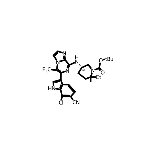 CCC1(C)CC[C@H](Nc2nc(-c3c[nH]c4c(Cl)c(C#N)ccc34)c(C(F)(F)F)n3ccnc23)CN1C(=O)OC(C)(C)C